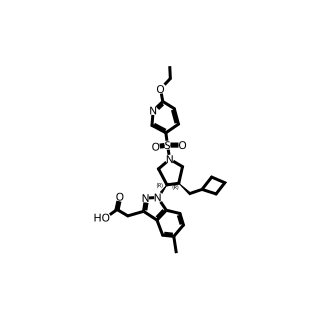 CCOc1ccc(S(=O)(=O)N2C[C@@H](CC3CCC3)[C@@H](n3nc(CC(=O)O)c4cc(C)ccc43)C2)cn1